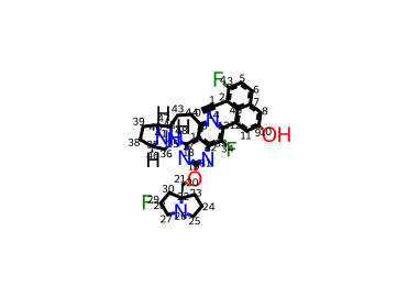 C#Cc1c(F)ccc2cc(O)cc(-c3nc4c5c(nc(OC[C@@]67CCCN6C[C@H](F)C7)nc5c3F)N3C[C@H]5CC[C@H](N5)[C@H]3CC4)c12